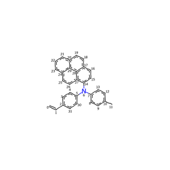 C=Cc1ccc(N(c2ccc(C)cc2)c2ccc3ccc4cccc5ccc2c3c45)cc1